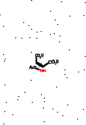 CC(=O)OO.O=C(O)/C=C\C(=O)O